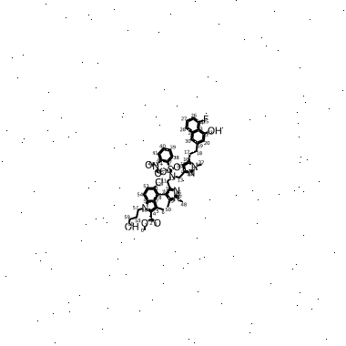 COC(=O)c1c(C)c2c(-c3c(CN(Cc4cc(CCc5cc(O)c6c(F)cccc6c5)n(C)n4)S(=O)(=O)c4ccccc4[N+](=O)[O-])nn(C)c3C)c(Cl)ccc2n1CCCO